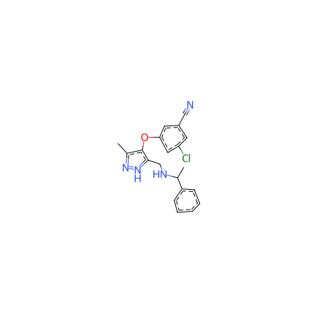 Cc1n[nH]c(CNC(C)c2ccccc2)c1Oc1cc(Cl)cc(C#N)c1